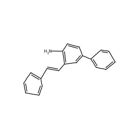 Nc1ccc(-c2ccccc2)cc1C=Cc1ccccc1